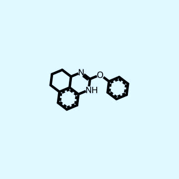 c1ccc(OC2=NC3CCCc4cccc(c43)N2)cc1